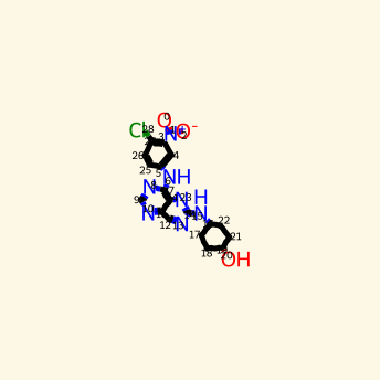 O=[N+]([O-])c1cc(Nc2ncnc3cnc(NC4CCC(O)CC4)nc23)ccc1Cl